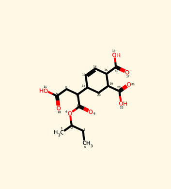 CCC(C)OC(=O)C(CC(=O)O)C1C=CC(C(=O)O)C(C(=O)O)C1